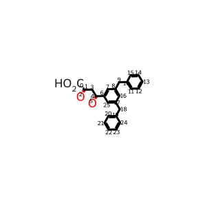 O=C(O)C(=O)CC(=O)c1cc(Cc2ccccc2)cc(Cc2ccccc2)c1